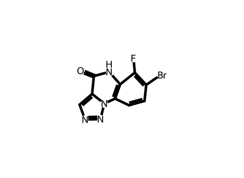 O=c1[nH]c2c(F)c(Br)ccc2n2nncc12